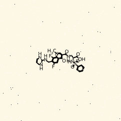 Cn1cc(C(=O)NCC(NS(=O)(=O)c2ccccc2)C(=O)O)c(=O)c2cc(F)c(CNC3NC=CCN3)c(F)c21